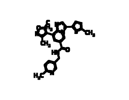 Cc1ccc(CNC(=O)c2cc(-c3c(C)noc3C)c3ncc(-c4ccc(C)s4)n3c2)cn1